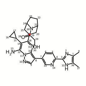 Cc1nc(-c2ccc(-c3cnn4c(N)c(C5CC5)c(C5CC6CCC(C5)N6C(=O)CO)nc34)cn2)[nH]c1C